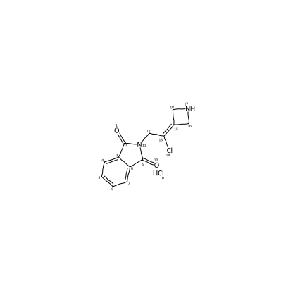 Cl.O=C1c2ccccc2C(=O)N1CC(Cl)=C1CNC1